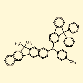 Cc1ccc(N(c2ccc3c(c2)C(c2ccccc2)(c2ccccc2)c2ccccc2-3)c2ccc3cc4c(cc3c2)C(C)(C)c2cc3ccccc3cc2-4)cc1